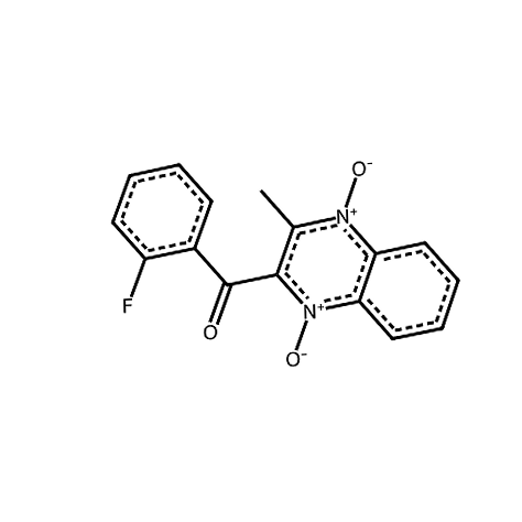 Cc1c(C(=O)c2ccccc2F)[n+]([O-])c2ccccc2[n+]1[O-]